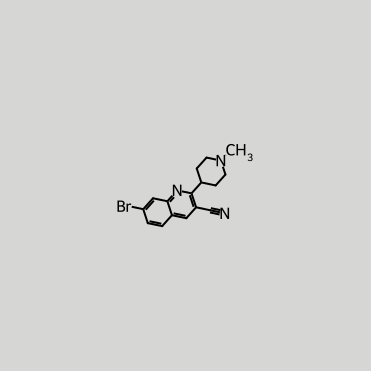 CN1CCC(c2nc3cc(Br)ccc3cc2C#N)CC1